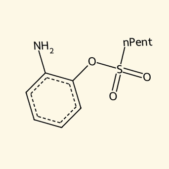 CCCCCS(=O)(=O)Oc1ccccc1N